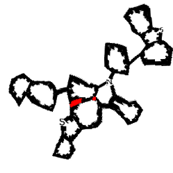 c1cc(-c2cccc3sc4ccccc4c23)cc(N(c2ccc(-c3ccc4ccccc4c3)cc2)c2ccccc2-c2ccc3sc4ccccc4c3c2)c1